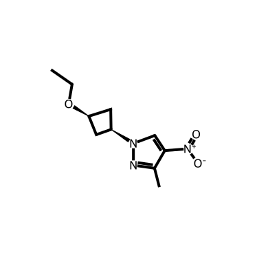 CCO[C@H]1C[C@@H](n2cc([N+](=O)[O-])c(C)n2)C1